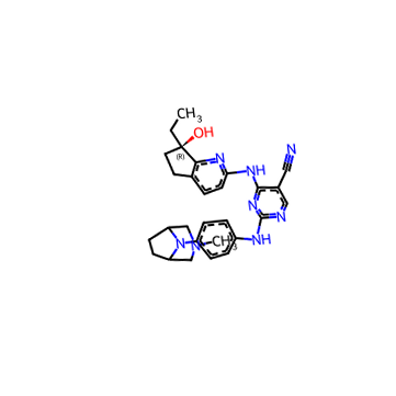 CC[C@@]1(O)CCc2ccc(Nc3nc(Nc4ccc(N5C6CCC5CN(C)C6)cc4)ncc3C#N)nc21